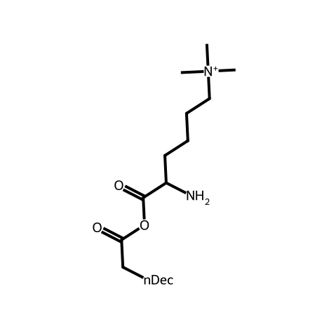 CCCCCCCCCCCC(=O)OC(=O)C(N)CCCC[N+](C)(C)C